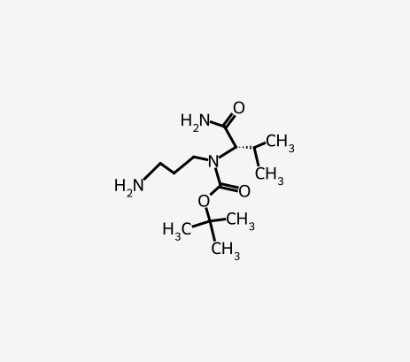 CC(C)[C@@H](C(N)=O)N(CCCN)C(=O)OC(C)(C)C